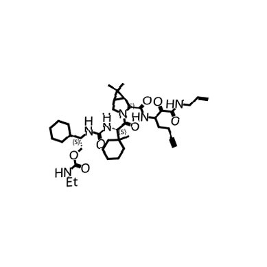 C#CCCC(NC(=O)[C@@H]1C2C(CN1C(=O)[C@@H](NC(=O)N[C@H](COC(=O)NCC)C1CCCCC1)C1(C)CCCCC1)C2(C)C)C(=O)C(=O)NCC=C